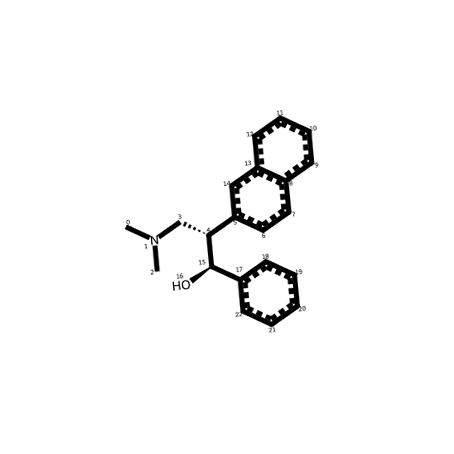 CN(C)C[C@H](c1ccc2ccccc2c1)[C@H](O)c1ccccc1